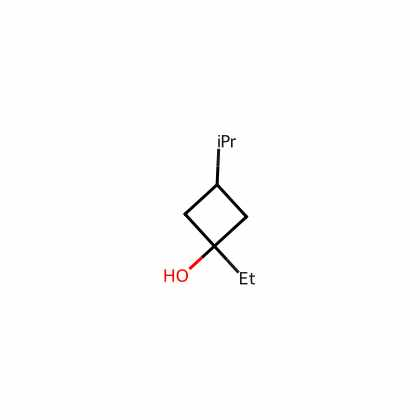 CCC1(O)CC(C(C)C)C1